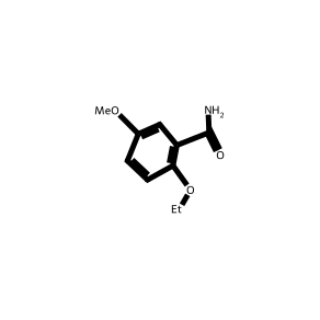 CCOc1ccc(OC)cc1C(N)=O